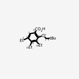 CCc1cc(C(=O)O)c(OCC(C)(C)C)c(CC)c1CC